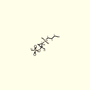 CCCC[Si](C)(C)[C@@H]1C[C@@]1(C)OS(C)(=O)=O